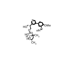 CCCOc1cc(-c2cncc([C@@H](CO)COB(O)OC(C)(C)C[C@H](C)O)c2)ccc1OC